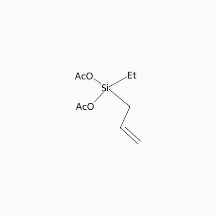 C=CC[Si](CC)(OC(C)=O)OC(C)=O